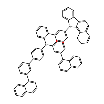 C1=Cc2ccc3c4ccccc4n(-c4cccc(-c5ccccc5N(c5ccc(-c6cccc(-c7cccc8ccccc78)c6)cc5)c5cccc(-c6cccc7ccccc67)c5)c4)c3c2CC1